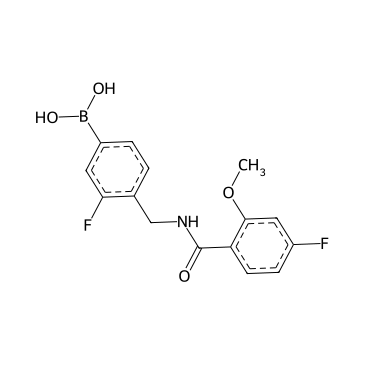 COc1cc(F)ccc1C(=O)NCc1ccc(B(O)O)cc1F